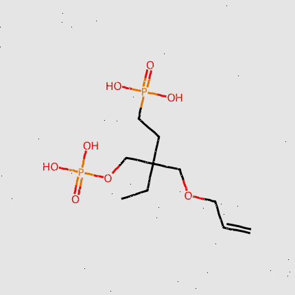 C=CCOCC(CC)(CCP(=O)(O)O)COP(=O)(O)O